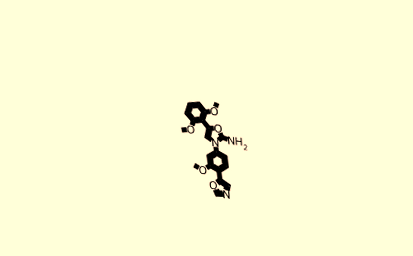 COc1cc(N2C=C(c3c(OC)cccc3OC)OC2N)ccc1-c1cnco1